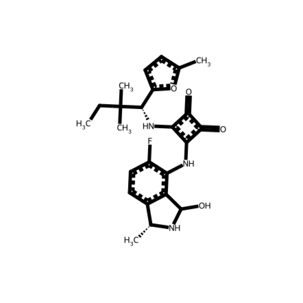 CCC(C)(C)[C@@H](Nc1c(Nc2c(F)ccc3c2C(O)N[C@@H]3C)c(=O)c1=O)c1ccc(C)o1